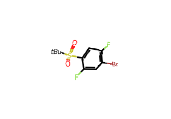 CC(C)(C)S(=O)(=O)c1cc(F)c(Br)cc1F